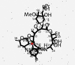 CCCNC[C@]1(O)[C@H](C)O[C@@H](OC2C(C)C(=O)OC(CC)C(C)(O)C(O)C(C)NCC(C)CC(C)(O)C(O[C@@H]3O[C@H](C)C[C@H](NC)[C@H]3Oc3ccc(F)cc3F)C2C)C[C@@]1(C)OC